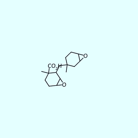 CC1(CC2C3OC3CCC2(C)C(=O)O)CCC2OC2C1